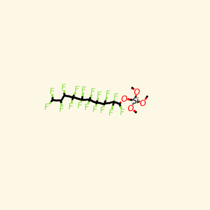 CO[Si](OC)(OC)OC(F)C(F)(F)C(F)(F)C(F)(F)C(F)(F)C(F)(F)C(F)(F)C(F)C(F)C(F)F